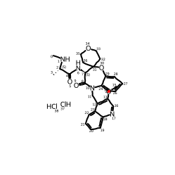 CN[C@@H](C)C(=O)N[C@@H]1C(=O)N(Cc2c(OC)cnc3ccccc23)c2ccccc2OC12CCOCC2.Cl.Cl